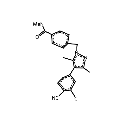 CNC(=O)c1ccc(Cn2nc(C)c(-c3ccc(C#N)c(Cl)c3)c2C)cc1